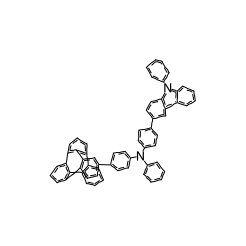 c1ccc(N(c2ccc(-c3ccc4c(c3)-c3c5cccc3-c3cccc-4c3-c3ccccc3-5)cc2)c2ccc(-c3ccc4c(c3)c3ccccc3n4-c3ccccc3)cc2)cc1